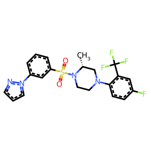 C[C@@H]1CN(c2ccc(F)cc2C(F)(F)F)CCN1S(=O)(=O)c1cccc(-n2cccn2)c1